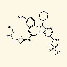 COc1ccc2c(c1)C=C(C(=O)N1CC(NC(=O)OC(C)(C)C)C1)Cn1c-2c(C2CCCCC2)c2ccc(C(=O)NS(=O)(=O)N(C)C)cc21